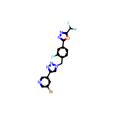 Fc1cc(-c2nnc(C(F)F)o2)ccc1Cn1cc(-c2cncc(Br)c2)nn1